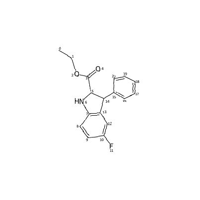 CCOC(=O)C1Nc2ccc(F)cc2C1c1ccccc1